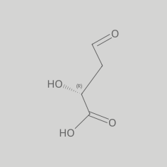 O=CC[C@@H](O)C(=O)O